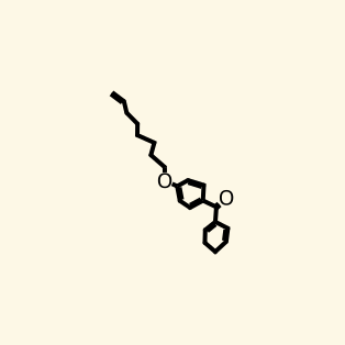 C=CCCCCCCOc1ccc(C(=O)C2=CCCC=C2)cc1